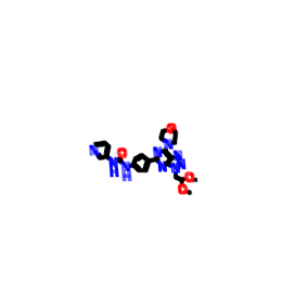 COC(Cn1nnc2c(N3CCOCC3)nc(-c3ccc(NC(=O)Nc4cccnc4)cc3)nc21)OC